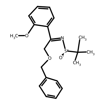 COc1ccccc1/C(COCc1ccccc1)=N/[S@+]([O-])C(C)(C)C